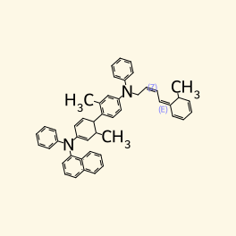 Cc1cc(N(C/C=C\C=C2\C=CC=CC2C)c2ccccc2)ccc1C1C=CC(N(c2ccccc2)c2cccc3ccccc23)=CC1C